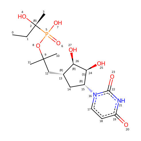 CC[C@](C)(O)P(=O)(O)OC(C)(C)C[C@H]1C[C@@H](n2ccc(=O)[nH]c2=O)[C@H](O)[C@@H]1O